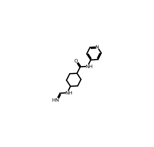 N=CNC1CCC(C(=O)Nc2ccncc2)CC1